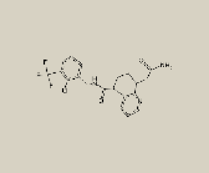 NC(=O)CC1CCC(C(=O)NCc2cccc(C(F)(F)F)c2Cl)c2cccnc21